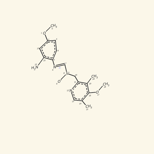 COc1ccc(/N=C/[S+]([O-])Cc2ncc(C)c(OC)c2C)c(N)c1